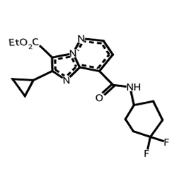 CCOC(=O)c1c(C2CC2)nc2c(C(=O)NC3CCC(F)(F)CC3)ccnn12